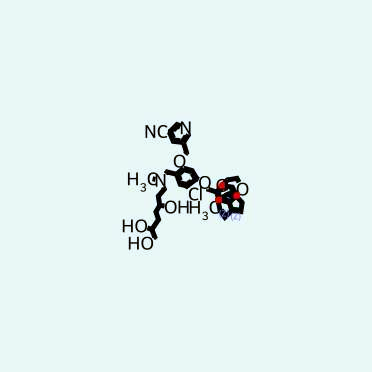 Cc1c(COc2cc(OCc3cncc(C#N)c3)c(CN(C)CCC(O)CCC(O)CO)cc2Cl)cccc1C1=C\CC2=C(C/C=C\1)OCCO2